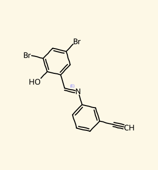 C#Cc1cccc(/N=C/c2cc(Br)cc(Br)c2O)c1